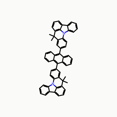 CC1(C)c2cc(-c3c4ccccc4c(-c4ccc5c(c4)C(C)(C)c4cccc6c7ccccc7n-5c46)c4ccccc34)ccc2-n2c3ccccc3c3cccc1c32